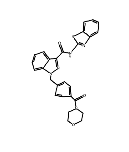 O=C(Nc1nc2ccccc2s1)c1nn(Cc2ccc(C(=O)N3CCOCC3)cc2)c2ccccc12